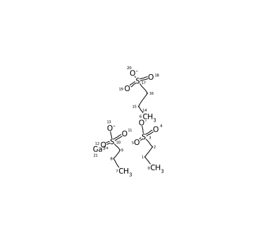 CCCS(=O)(=O)[O-].CCCS(=O)(=O)[O-].CCCS(=O)(=O)[O-].[Ga+3]